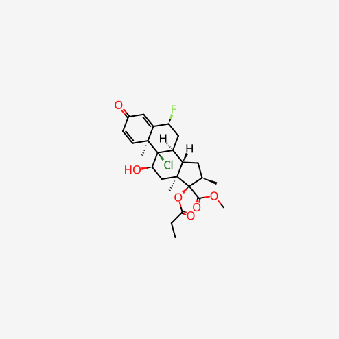 CCC(=O)O[C@]1(C(=O)OC)[C@H](C)C[C@H]2[C@@H]3C[C@H](F)C4=CC(=O)C=C[C@]4(C)[C@@]3(Cl)[C@H](O)C[C@@]21C